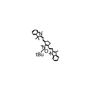 CC1C(/C=C/C2=C(N(C)C(=O)CC(C)(C)C)C(=C/C=C3/N(C)c4ccccc4C3(C)C)/CC2)=[N+](C)c2ccccc21